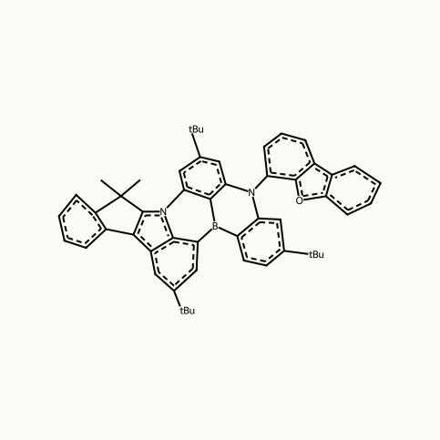 CC(C)(C)c1ccc2c(c1)N(c1cccc3c1oc1ccccc13)c1cc(C(C)(C)C)cc3c1B2c1cc(C(C)(C)C)cc2c4c(n-3c12)C(C)(C)c1ccccc1-4